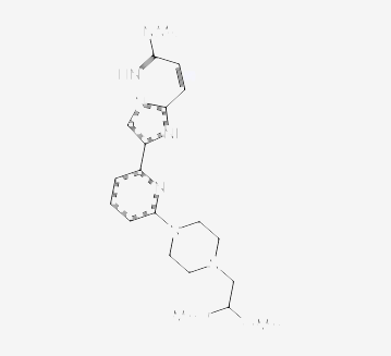 CNC(=N)/C=C\c1ncc(-c2cccc(N3CCN(CC(OC)OC)CC3)n2)[nH]1